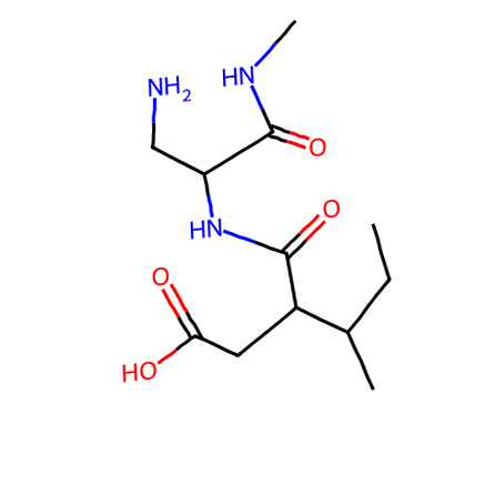 CCC(C)C(CC(=O)O)C(=O)NC(CN)C(=O)NC